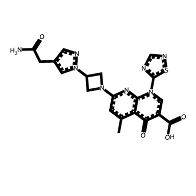 Cc1cc(N2CC(n3cc(CC(N)=O)cn3)C2)nc2c1c(=O)c(C(=O)O)cn2-c1ncns1